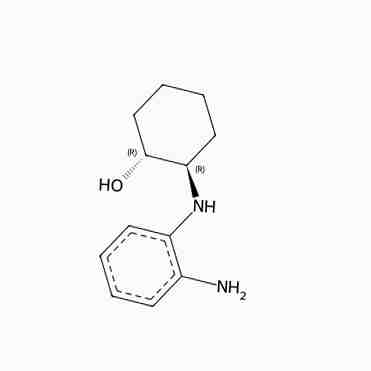 Nc1ccccc1N[C@@H]1CCCC[C@H]1O